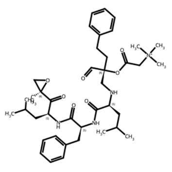 CC(C)C[C@H](NC[C@@](C=O)(CCc1ccccc1)OC(=O)C[N+](C)(C)C)C(=O)N[C@@H](Cc1ccccc1)C(=O)N[C@@H](CC(C)C)C(=O)[C@@]1(C)CO1